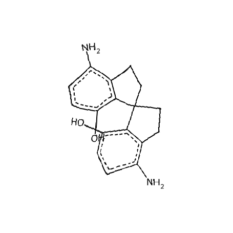 Nc1ccc(O)c2c1CCC21CCc2c(N)ccc(O)c21